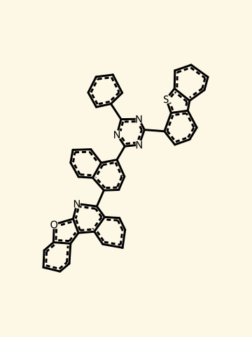 c1ccc(-c2nc(-c3ccc(-c4nc5oc6ccccc6c5c5ccccc45)c4ccccc34)nc(-c3cccc4c3sc3ccccc34)n2)cc1